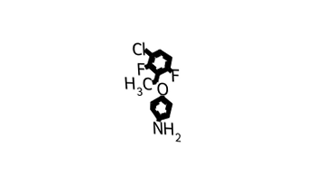 CC(Oc1ccc(N)cc1)c1c(F)ccc(Cl)c1F